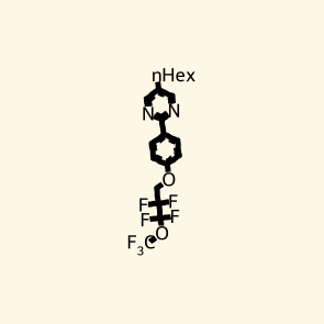 CCCCCCc1cnc(-c2ccc(OCC(F)(F)C(F)(F)OC(F)(F)F)cc2)nc1